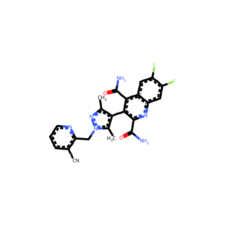 Cc1nn(Cc2ncccc2C#N)c(C)c1-c1c(C(N)=O)nc2cc(F)c(F)cc2c1C(N)=O